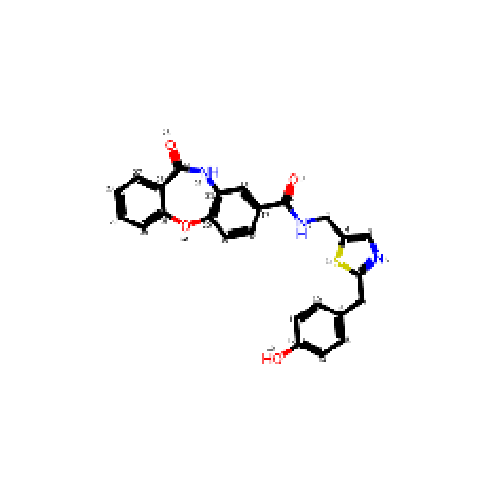 O=C(NCc1cnc(Cc2ccc(O)cc2)s1)c1ccc2c(c1)NC(=O)c1ccccc1O2